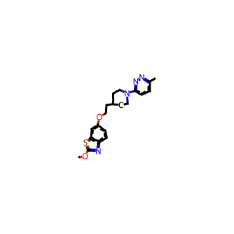 COc1nc2ccc(OCCC3CCN(c4ccc(C)nn4)CC3)cc2s1